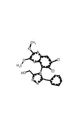 COc1nc2cc(Cl)c(Cl)c(-n3c(CO)nnc3-c3ccccc3)c2nc1OC